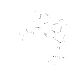 CN1CC[C@H]2CN(c3ncc4c5c(c(-c6ncc(F)c7sc(NC(=O)OC(C)(C)C)c(C#N)c67)c(F)c4n3)COC5)C[C@H]21